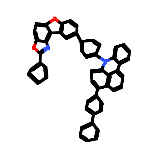 c1ccc(-c2ccc(-c3ccc(N(c4ccc(-c5ccc6oc7ccc8oc(-c9ccccc9)nc8c7c6c5)cc4)c4ccccc4-c4ccccc4)cc3)cc2)cc1